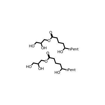 CCCCCC(O)CCCC(=O)OCC(O)CO.CCCCCC(O)CCCC(=O)OCC(O)CO